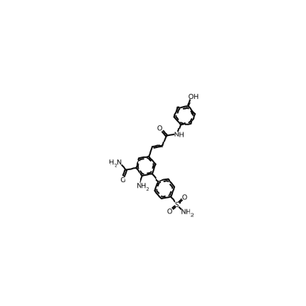 NC(=O)c1cc(C=CC(=O)Nc2ccc(O)cc2)cc(-c2ccc(S(N)(=O)=O)cc2)c1N